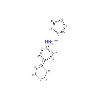 c1ccc(CNc2ccc(C3CCCCC3)cc2)cc1